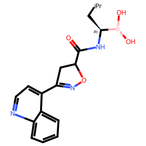 CC(C)C[C@H](NC(=O)C1CC(c2ccnc3ccccc23)=NO1)B(O)O